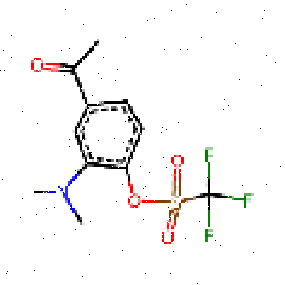 CC(=O)c1ccc(OS(=O)(=O)C(F)(F)F)c(N(C)C)c1